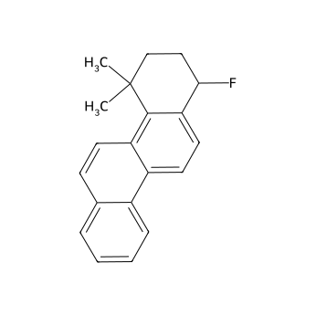 CC1(C)CCC(F)c2ccc3c(ccc4ccccc43)c21